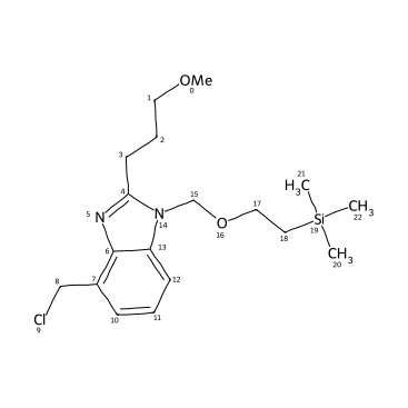 COCCCc1nc2c(CCl)cccc2n1COCC[Si](C)(C)C